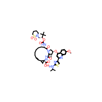 COc1ccc2c(O[C@@H]3C[C@H]4C(=O)N[C@]5(C(=O)O)CC5/C=C\CCCCC[C@H](NC(=O)O[C@H](CN5CCCCS5(=O)=O)C(C)(C)C)C(=O)N4C3)cc(-c3csc(NC(C)C)n3)nc2c1